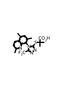 Cc1ccc2c(C)cc(C)c(-n3c(SC(C)(C)C(=O)O)nnc3C(F)(F)F)c2n1